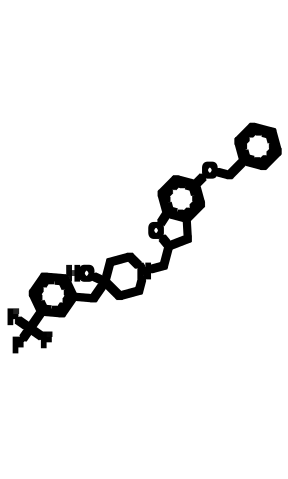 OC1(Cc2cccc(C(F)(F)F)c2)CCN(CC2Cc3cc(OCc4ccccc4)ccc3O2)CC1